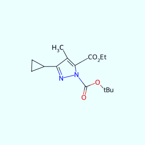 CCOC(=O)c1c(C)c(C2CC2)nn1C(=O)OC(C)(C)C